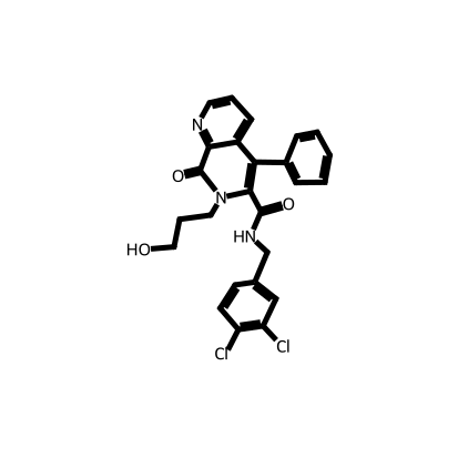 O=C(NCc1ccc(Cl)c(Cl)c1)c1c(-c2ccccc2)c2cccnc2c(=O)n1CCCO